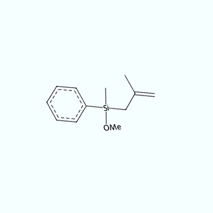 C=C(C)C[Si](C)(OC)c1ccccc1